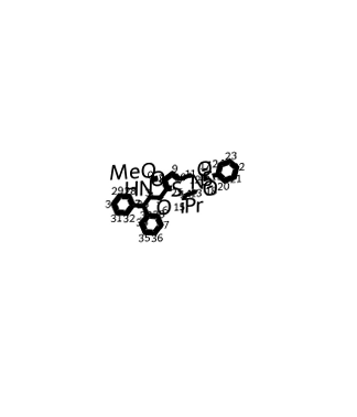 COC(=O)N[C@@H](C(=O)c1ccc(CN(CCC(C)C)S(=O)(=O)c2ccccc2)s1)C(c1ccccc1)c1ccccc1